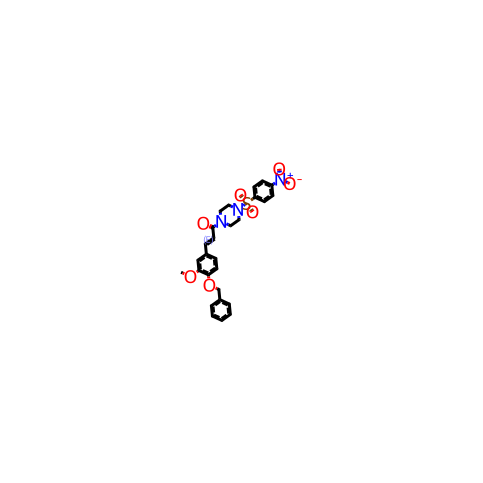 COc1cc(/C=C/C(=O)N2CCN(S(=O)(=O)c3ccc([N+](=O)[O-])cc3)CC2)ccc1OCc1ccccc1